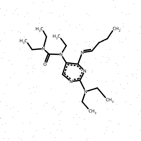 [CH2]CCC=Nc1nc(N(CC)CC)ncc1N(CC)C(=O)N(CC)CC